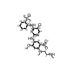 CNCCN(C)c1cc(OC)c(Nc2ncc(Cl)c(Nc3ccccc3P(C)(C)=O)n2)cc1[N+](=O)[O-]